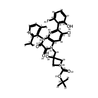 Cc1ccnc(C(C)C)c1-n1c(=O)c(=O)n(CC2(O)CN(C(=O)OC(C)(C)C)C2)c2cc(Cl)c(-c3c(O)cccc3F)nc21